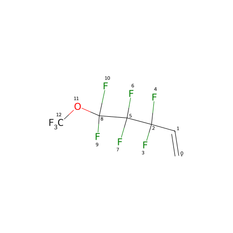 [CH]=CC(F)(F)C(F)(F)C(F)(F)OC(F)(F)F